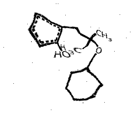 CC(C)(Cc1ccccc1O)OC1CCCCC1